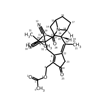 CC(=O)OCC1=C2CC(C#N)(C#N)C3CC4CC[C@@H]([C@@H]3C(C)=C2CC1=O)N4C(=O)OC(C)(C)C